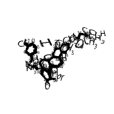 CC(C)C1=C2[C@H]3CC[C@@H]4[C@@]5(C)CC[C@H](OC(=O)CC(C)(C)C(=O)O)C(C)(C)[C@@H]5CC[C@@]4(C)[C@]3(C)CC[C@@]2(Cc2nnc(-c3cccc(Cl)c3)o2)CC1=O